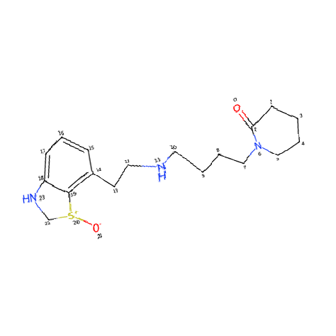 O=C1CCCCN1CCCCNCCc1cccc2c1[S+]([O-])CN2